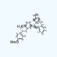 COc1ccc(CCC2CN(C3=Nc4ccccc4Cc4sc(C(C)C)nc43)CCN2C)cc1